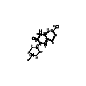 CN1CCN(c2nc3ccc(Cl)cc3[nH]c2=O)CC1